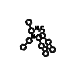 C=Cc1cccc(-c2ccc3c(c2)C2(c4ccccc4-3)c3ccccc3-c3ccc(-c4cccc(N(c5ccc(-c6ccccc6)cc5)c5ccc(-c6ccccc6)cc5)c4)cc32)c1